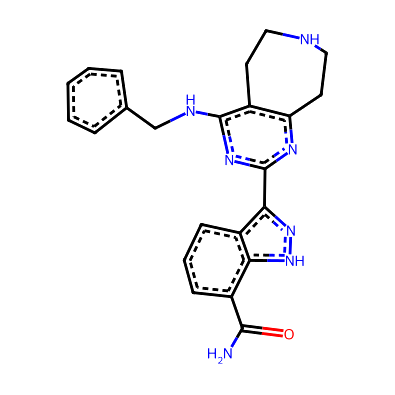 NC(=O)c1cccc2c(-c3nc4c(c(NCc5ccccc5)n3)CCNCC4)n[nH]c12